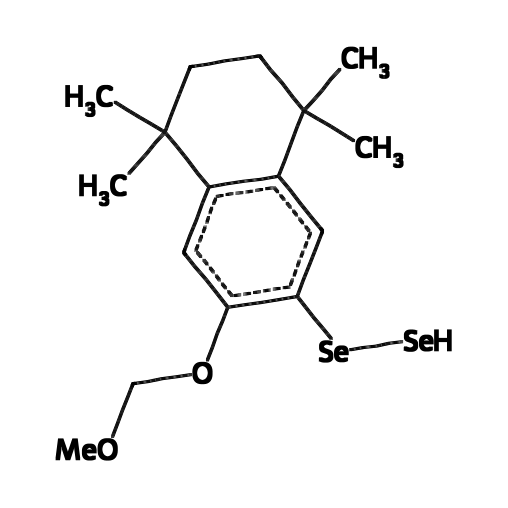 COCOc1cc2c(cc1[Se][SeH])C(C)(C)CCC2(C)C